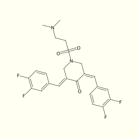 CN(C)CCS(=O)(=O)N1CC(=Cc2ccc(F)c(F)c2)C(=O)C(=Cc2ccc(F)c(F)c2)C1